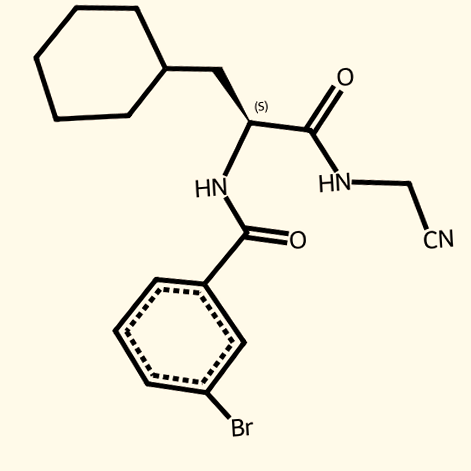 N#CCNC(=O)[C@H](CC1CCCCC1)NC(=O)c1cccc(Br)c1